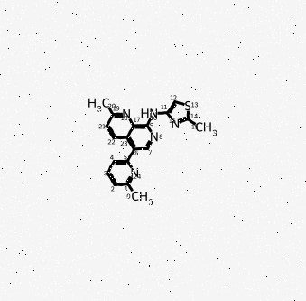 Cc1cccc(-c2cnc(Nc3csc(C)n3)c3nc(C)ccc23)n1